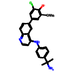 COc1cc(-c2ccc3nc[c]c(Nc4ccc(C(C)(C)N)cc4)c3c2)cc(Cl)c1O